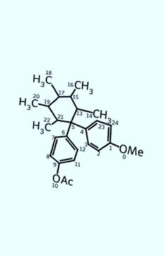 COc1ccc(C2(c3ccc(OC(C)=O)cc3)C(C)C(C)C(C)C(C)C2C)cc1